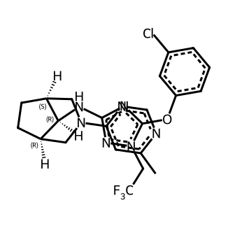 Cc1cc(N2C[C@H]3CC[C@@H](C2)[C@H]3Nc2nc(Oc3cccc(Cl)c3)n(CC(F)(F)F)n2)ncn1